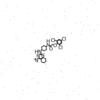 CN(C)c1nc(NC2CCC(NC(=O)COc3c(Cl)cc(Cl)cc3Cl)CC2)nc2c1CCCC2